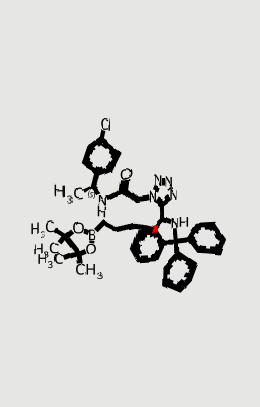 C[C@H](NC(=O)Cn1nnnc1C(CCCCB1OC(C)(C)C(C)(C)O1)NC(c1ccccc1)(c1ccccc1)c1ccccc1)c1ccc(Cl)cc1